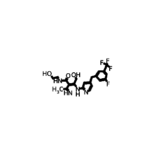 CC(=N)/C(C(=O)NCCO)=C(/CO)Nc1cc(Cc2cc(F)cc(C(F)(F)F)c2)ccn1